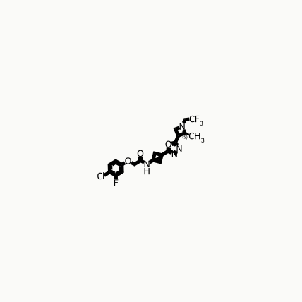 C[C@H]1C(c2nnc(C34CC(NC(=O)COc5ccc(Cl)c(F)c5)(C3)C4)o2)CN1CC(F)(F)F